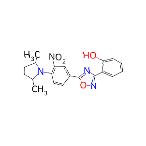 CC1CCC(C)N1c1ccc(-c2nc(-c3ccccc3O)no2)cc1[N+](=O)[O-]